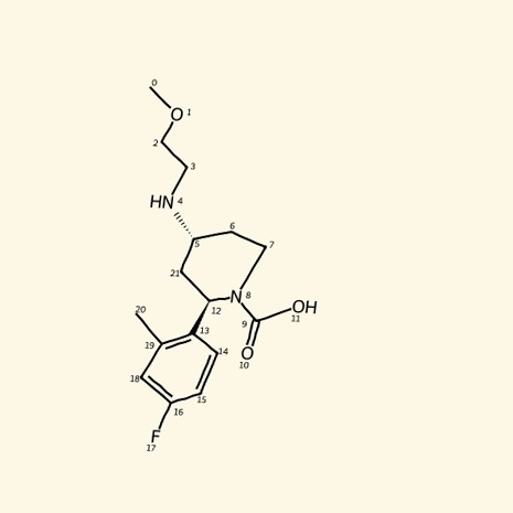 COCCN[C@@H]1CCN(C(=O)O)[C@@H](c2ccc(F)cc2C)C1